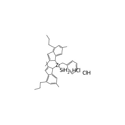 CCCc1cc(C)cc2c1C=C(C)[CH]2[Zr](=[SiH2])([CH2]c1ccccc1)[CH]1C(C)=Cc2c(CCC)cc(C)cc21.Cl.Cl